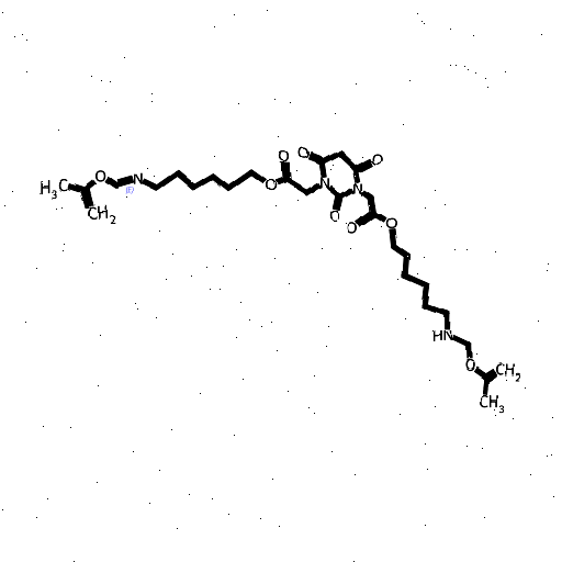 C=C(C)O/C=N/CCCCCCOC(=O)CN1C(=O)CC(=O)N(CC(=O)OCCCCCCNCOC(=C)C)C1=O